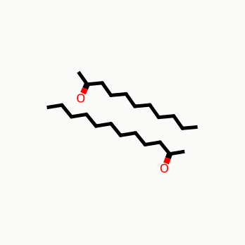 CCCCCCCCCC(C)=O.CCCCCCCCCCC(C)=O